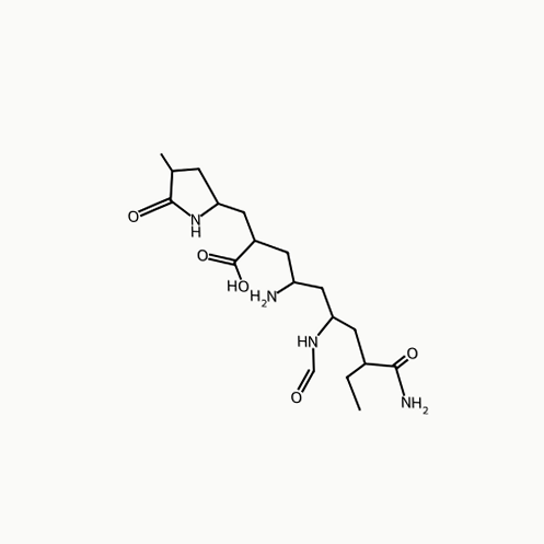 CCC(CC(CC(N)CC(CC1CC(C)C(=O)N1)C(=O)O)NC=O)C(N)=O